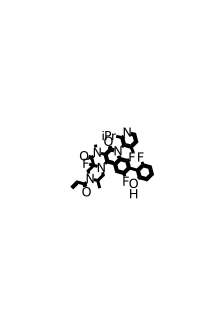 C=CC(=O)N1CC2(F)C(=O)N(C)c3c(c4cc(F)c(-c5c(O)cccc5F)c(F)c4n(-c4c(C)ccnc4C(C)C)c3=O)N2CC1C